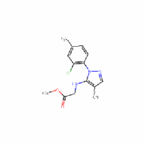 CCCCOC(=O)CNc1c(C#N)cnn1-c1ccc(C(F)(F)F)cc1Cl